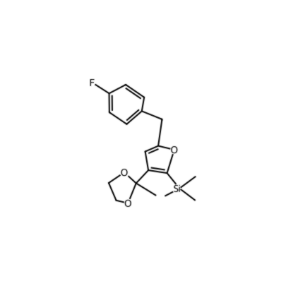 CC1(c2cc(Cc3ccc(F)cc3)oc2[Si](C)(C)C)OCCO1